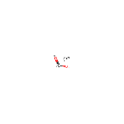 O=[C-][O-].[Zn+2]